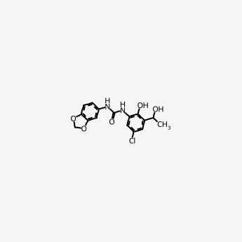 CC(O)c1cc(Cl)cc(NC(=O)Nc2ccc3c(c2)OCO3)c1O